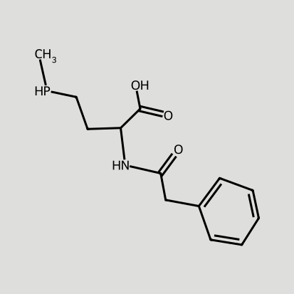 CPCCC(NC(=O)Cc1ccccc1)C(=O)O